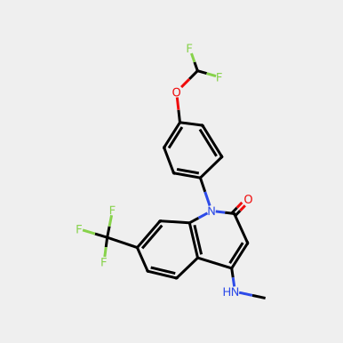 CNc1cc(=O)n(-c2ccc(OC(F)F)cc2)c2cc(C(F)(F)F)ccc12